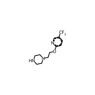 FC(F)(F)c1ccc(OCCN2CCNCC2)nc1